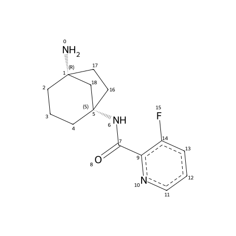 N[C@]12CCC[C@](NC(=O)c3ncccc3F)(CC1)C2